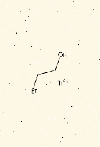 CCCCO.[Ti+4]